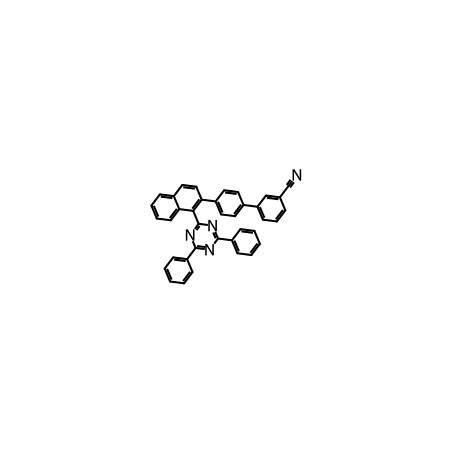 N#Cc1cccc(-c2ccc(-c3ccc4ccccc4c3-c3nc(-c4ccccc4)nc(-c4ccccc4)n3)cc2)c1